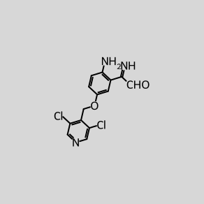 N=C(C=O)c1cc(OCc2c(Cl)cncc2Cl)ccc1N